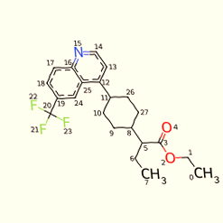 CCOC(=O)C(CC)C1CCC(c2ccnc3ccc(C(F)(F)F)cc23)CC1